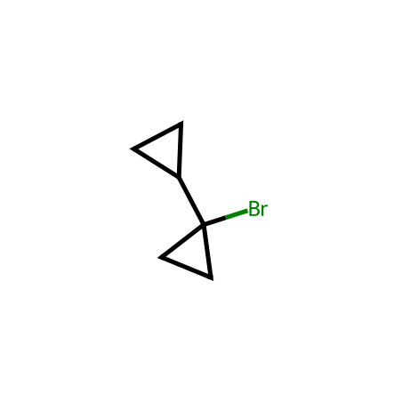 BrC1(C2CC2)CC1